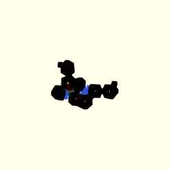 Cc1cccc(-c2ccc3c(c2)c2ccccc2n3-c2cccnc2-c2c(-n3c4ccccc4c4cc(-c5cccc(C)c5)ccc43)cccc2C(F)(F)F)c1